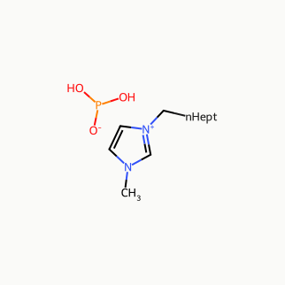 CCCCCCCC[n+]1ccn(C)c1.[O-]P(O)O